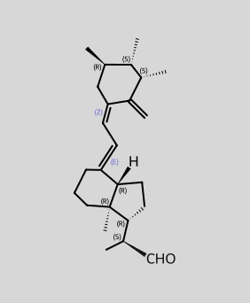 C=C1/C(=C\C=C2/CCC[C@]3(C)[C@@H]([C@H](C)C=O)CC[C@@H]23)C[C@@H](C)[C@H](C)[C@@H]1C